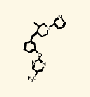 CC1CN(c2cccnc2)CCC1=Cc1cccc(Oc2ncc(C(F)(F)F)cn2)c1